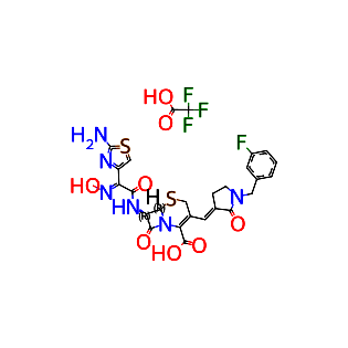 Nc1nc(C(=NO)C(=O)N[C@@H]2C(=O)N3C(C(=O)O)=C(C=C4CCN(Cc5cccc(F)c5)C4=O)CS[C@H]23)cs1.O=C(O)C(F)(F)F